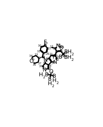 BC(B)(B)OC1=C2c3ncc(-c4c(C)noc4C(B)(B)B)cc3N([C@H](c3ccc(F)cc3)C3CCOCC3)C2C=N1